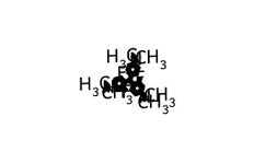 CN(C)c1ccc(C(c2ccc(N(C)C)cc2F)c2ccc(N(C)C)cc2F)c(F)c1